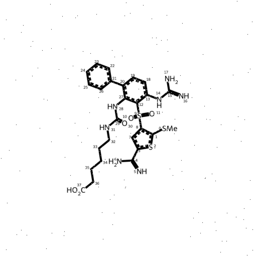 CSc1sc(C(=N)N)cc1S(=O)(=O)c1c(NC(=N)N)ccc(-c2ccccc2)c1NC(=O)NCCCCCC(=O)O